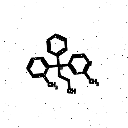 Cc1cc([C@@](CCO)(c2ccccc2)c2ccccc2C)ccn1